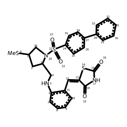 CSC1CC(CNc2ccccc2C=C2SC(=O)NC2=O)N(S(=O)(=O)c2ccc(-c3ccccc3)cc2)C1